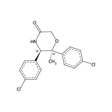 C[C@@]1(c2ccc(Cl)cc2)OCC(=O)N[C@@H]1c1ccc(Cl)cc1